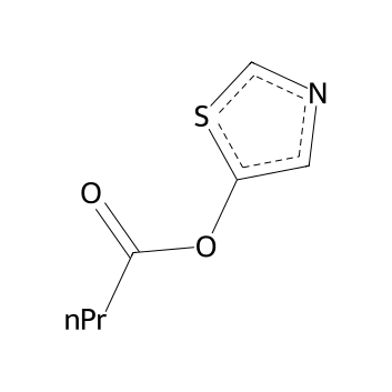 CCCC(=O)Oc1cncs1